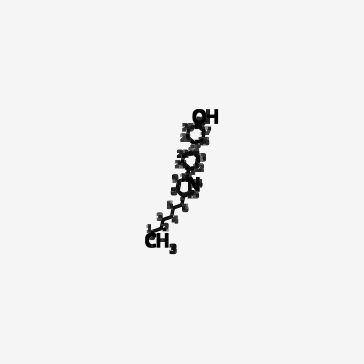 CCCCCCCc1ccc(-c2ccc([C@H]3CC[C@H](O)CC3)cc2)nc1